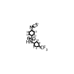 O=S(=O)(Nc1ccc(C(F)(F)F)cc1)c1ccc(N=C=S)cc1